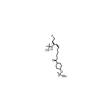 CC(C)(C#N)NC(/C=C\CCCCC(=O)N1CCC(O[Si](C)(C)C(C)(C)C)CC1)=C/CF